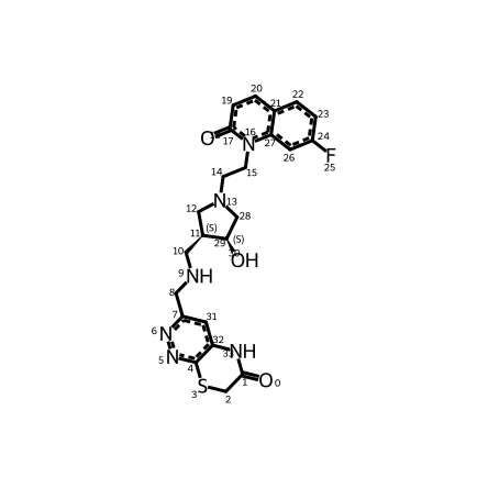 O=C1CSc2nnc(CNC[C@H]3CN(CCn4c(=O)ccc5ccc(F)cc54)C[C@H]3O)cc2N1